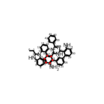 CCC1Nc2ccccc2N1c1ccccc1-c1ccc(N)c(-c2cccc(-c3cccc(N)c3C3N=C(c4ccccc4)N=C(c4ccccc4)N3)c2)c1